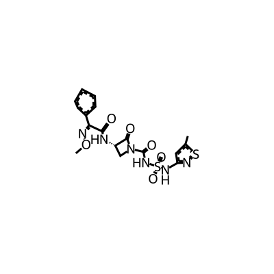 CO/N=C(\C(=O)N[C@H]1CN(C(=O)NS(=O)(=O)Nc2cc(C)sn2)C1=O)c1ccccc1